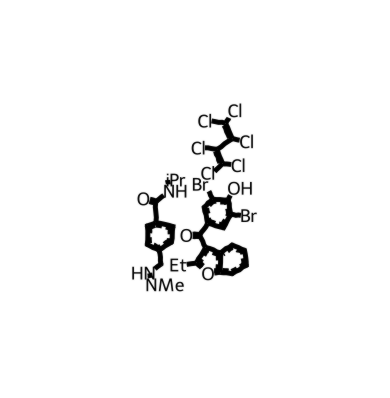 CCc1oc2ccccc2c1C(=O)c1cc(Br)c(O)c(Br)c1.CNNCc1ccc(C(=O)NC(C)C)cc1.ClC(Cl)=C(Cl)C(Cl)=C(Cl)Cl